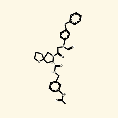 CC(=O)Nc1cccc(CNC(=O)[C@@H]2CC3(CN2C(=O)CN(C=O)c2ccc(Oc4ccccc4)cc2)OCCO3)c1